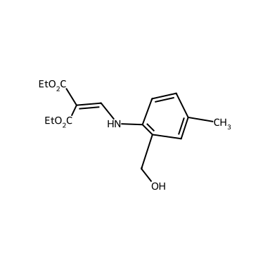 CCOC(=O)C(=CNc1ccc(C)cc1CO)C(=O)OCC